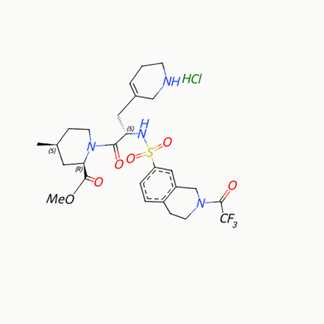 COC(=O)[C@H]1C[C@@H](C)CCN1C(=O)[C@H](CC1=CCCNC1)NS(=O)(=O)c1ccc2c(c1)CN(C(=O)C(F)(F)F)CC2.Cl